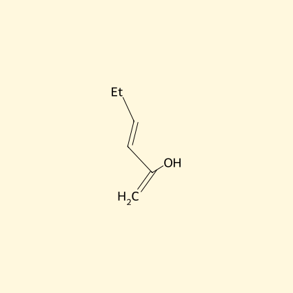 C=C(O)C=CCC